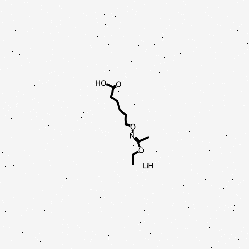 CCOC(C)=NOCCCCCC(=O)O.[LiH]